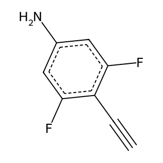 C#Cc1c(F)cc(N)cc1F